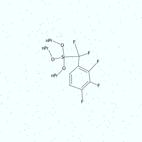 CCCO[Si](OCCC)(OCCC)C(F)(F)c1ccc(F)c(F)c1F